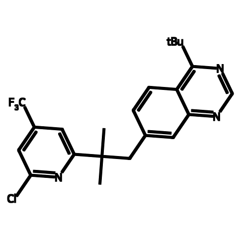 CC(C)(C)c1ncnc2cc(CC(C)(C)c3cc(C(F)(F)F)cc(Cl)n3)ccc12